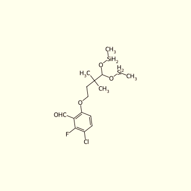 C[SiH2]OC(O[SiH2]C)C(C)(C)CCOc1ccc(Cl)c(F)c1C=O